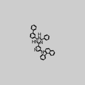 c1ccc(-c2cccc(C3NC(c4cncc(-n5c6ccccc6c6c7ccccc7ccc65)c4)=NC(c4ccccc4)N3)c2)cc1